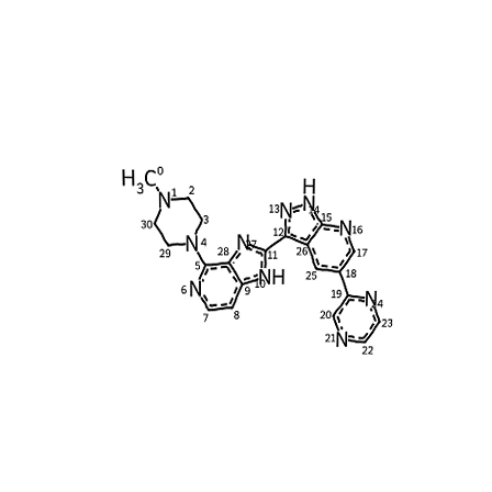 CN1CCN(c2nccc3[nH]c(-c4n[nH]c5ncc(-c6cnccn6)cc45)nc23)CC1